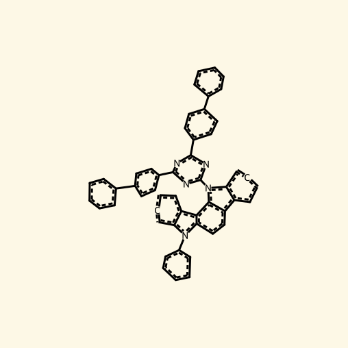 c1ccc(-c2ccc(-c3nc(-c4ccc(-c5ccccc5)cc4)nc(-n4c5ccccc5c5ccc6c(c7ccccc7n6-c6ccccc6)c54)n3)cc2)cc1